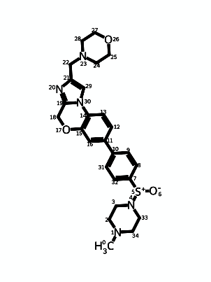 CN1CCN([S+]([O-])c2ccc(-c3ccc4c(c3)OCc3nc(CN5CCOCC5)cn3-4)cc2)CC1